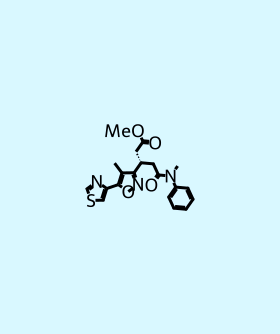 COC(=O)C[C@H](CC(=O)N(C)c1ccccc1)c1noc(-c2cscn2)c1C